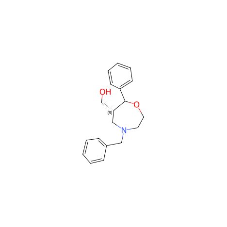 OC[C@H]1CN(Cc2ccccc2)CCOC1c1ccccc1